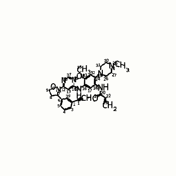 C#Cc1cccc(C2CCON2c2cc(Nc3cc(NC(=O)C=C)c(N4CCN(C)CC4)cc3OC)ncn2)c1